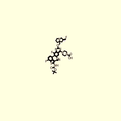 CC(C)(C)OC(=O)Nc1sc2c(F)ccc(-c3c(Cl)cc4c(N5CCN(C(=O)O)CC5)nc(OCC56CCCN5C/C(=C\F)C6)nc4c3F)c2c1C#N